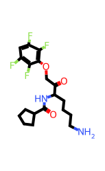 NCCCCC(NC(=O)C1CCCC1)C(=O)COc1c(F)c(F)cc(F)c1F